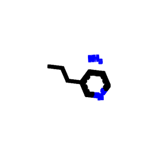 CCCc1cccnc1.N